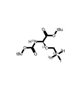 [2H][13C]([2H])(I)C[13CH2][C@@H]([15NH]C(=O)OC(C)(C)C)C(=O)OC(C)(C)C